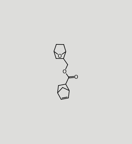 O=C(OCC1CC2CCC1O2)C1CC2C=CC1C2